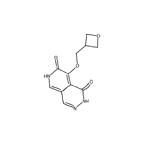 O=c1[nH]cc2cn[nH]c(=O)c2c1OCC1COC1